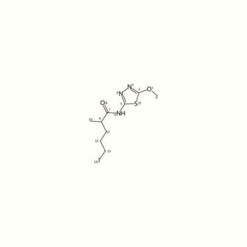 COc1nnc(NC(=O)C(C)CCCI)s1